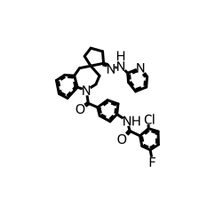 O=C(Nc1ccc(C(=O)N2CCC3(CCCC3=NNc3ccccn3)Cc3ccccc32)cc1)c1cc(F)ccc1Cl